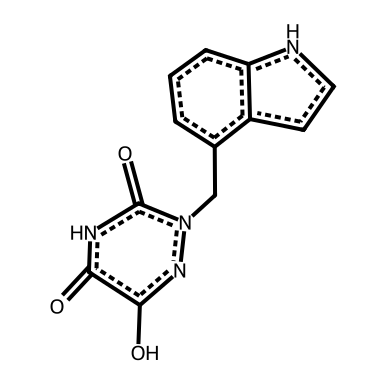 O=c1[nH]c(=O)n(Cc2cccc3[nH]ccc23)nc1O